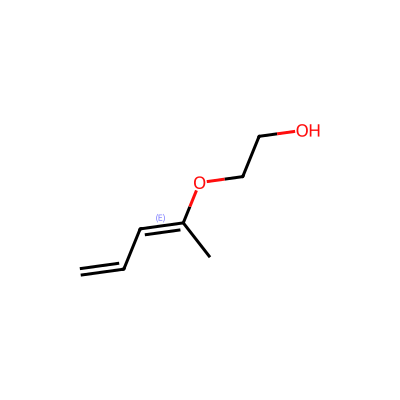 C=C/C=C(\C)OCCO